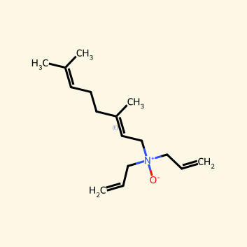 C=CC[N+]([O-])(CC=C)C/C=C(\C)CCC=C(C)C